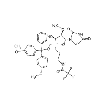 COc1ccc(C(OC[C@@]2(CCCNC(=O)C(F)(F)F)O[C@@H](n3ccc(=O)[nH]c3=O)[C@H](OC)[C@@H]2O)(c2ccccc2)c2ccc(OC)cc2)cc1